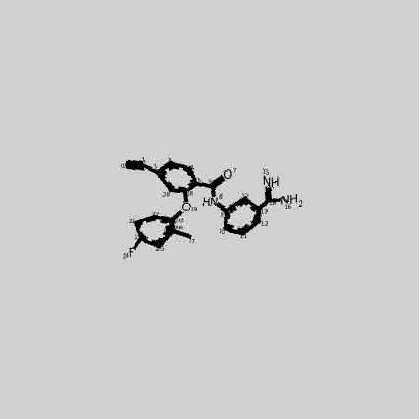 C#Cc1ccc(C(=O)Nc2cccc(C(=N)N)c2)c(Oc2ccc(F)cc2C)c1